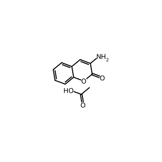 CC(=O)O.Nc1cc2ccccc2oc1=O